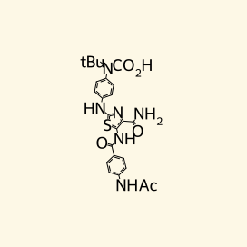 CC(=O)Nc1ccc(C(=O)Nc2sc(Nc3ccc(N(C(=O)O)C(C)(C)C)cc3)nc2C(N)=O)cc1